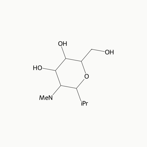 CNC1C(O)C(O)C(CO)OC1C(C)C